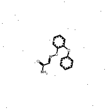 NC(=O)C=NOc1ccccc1Oc1ccccc1